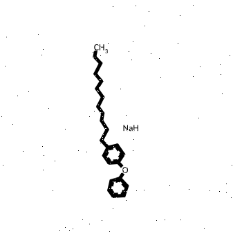 CCCCCCCCCCCCc1ccc(Oc2ccccc2)cc1.[NaH]